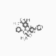 CC(C)c1cc(C2N(c3ccc(N4CCOCC4)nc3)C(C(N)=O)=NN2C2CCCCC2)c(O)cc1O